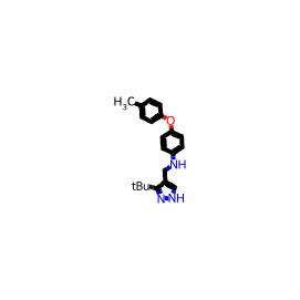 Cc1ccc(Oc2ccc(NCc3c[nH]nc3C(C)(C)C)cc2)cc1